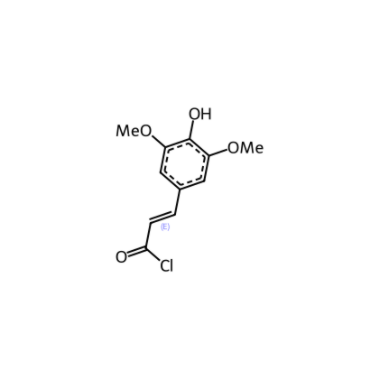 COc1cc(/C=C/C(=O)Cl)cc(OC)c1O